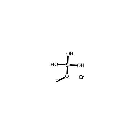 O[Si](O)(O)OF.[Cr]